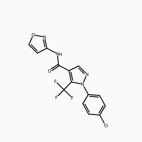 O=C(Nc1ccon1)c1cnn(-c2ccc(Cl)cc2)c1C(F)(F)F